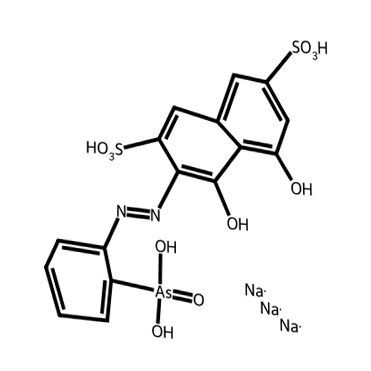 O=S(=O)(O)c1cc(O)c2c(O)c(N=Nc3ccccc3[As](=O)(O)O)c(S(=O)(=O)O)cc2c1.[Na].[Na].[Na]